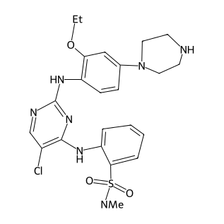 CCOc1cc(N2CCNCC2)ccc1Nc1ncc(Cl)c(Nc2ccccc2S(=O)(=O)NC)n1